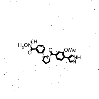 COc1cc(C(=O)N2CCC[C@@H]2c2cccc(C(=O)N(C)C)c2)ccc1-c1cn[nH]c1